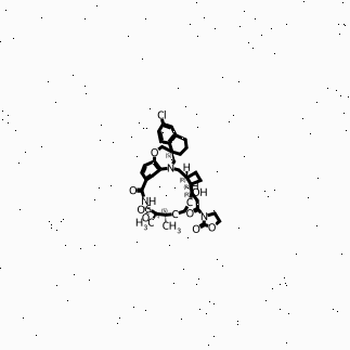 C[C@@H]1[C@@H](C)CCC[C@@](O)(CC(=O)N2CCOC2=O)[C@@H]2CC[C@H]2CN2C[C@@]3(CCCc4cc(Cl)ccc43)COc3ccc(cc32)C(=O)NS1(=O)=O